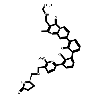 COc1nc(-c2cccc(-c3cccc(-c4ccn5c(=O)c(CNCC(=O)O)c(C)nc5c4)c3Cl)c2Cl)ccc1CNC[C@H]1CCC(=O)N1